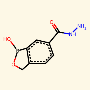 NNC(=O)c1ccc2c(c1)B(O)OC2